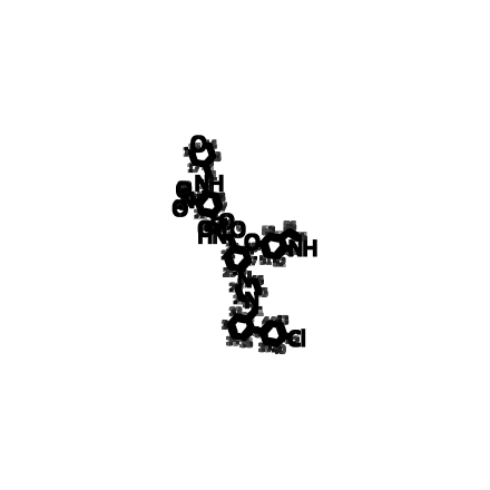 O=C(NS(=O)(=O)c1ccc(NCC2CCOCC2)c([N+](=O)[O-])c1)c1ccc(N2CCN(Cc3ccccc3-c3ccc(Cl)cc3)CC2)cc1Oc1ccc2[nH]ccc2c1